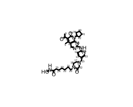 CC(=O)c1c(C)c2cnc(Nc3ccc(CN4CCN(CCCCCCC(=O)NO)C(=O)C4)cn3)nc2n(C2CCCC2)c1=O